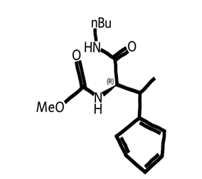 CCCCNC(=O)[C@H](NC(=O)OC)C(C)c1ccccc1